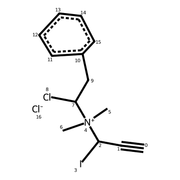 C#CC(I)[N+](C)(C)C(Cl)Cc1ccccc1.[Cl-]